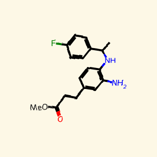 COC(=O)CCc1ccc(NC(C)c2ccc(F)cc2)c(N)c1